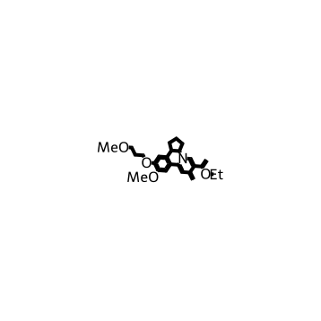 C=C1C=C2c3cc(OC)c(OCCCOC)cc3C3CCCC3N2C=C1C(=C)OCC